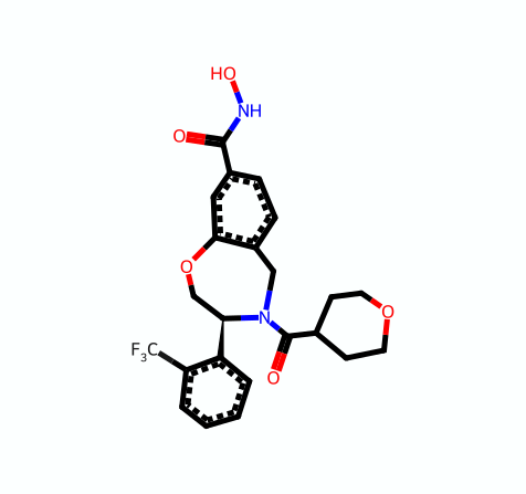 O=C(NO)c1ccc2c(c1)OC[C@H](c1ccccc1C(F)(F)F)N(C(=O)C1CCOCC1)C2